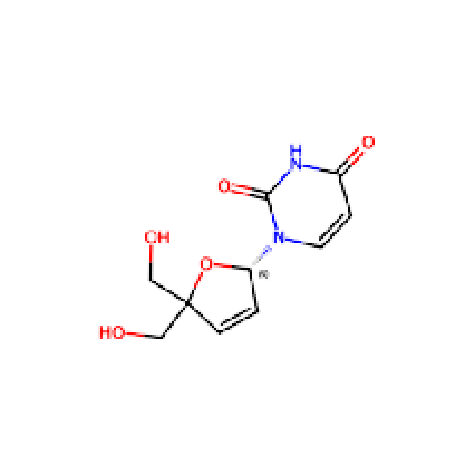 O=c1ccn([C@@H]2C=CC(CO)(CO)O2)c(=O)[nH]1